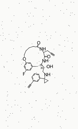 C#CCC1NC(=O)CCCCOc2cc(F)cc(c2)C[C@@H]([C@H](O)CNC2(c3cccc(C#C)c3)CC2)NC1=O